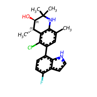 Cc1cc(-c2ccc(F)c3cc[nH]c23)c(Cl)c2c1NC(C)(C)[C@H](O)[C@H]2C